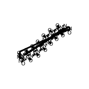 O=C1N2CN3C(=O)N4CN5C(=O)N6CN7C(=O)N8CN9C(=O)N%10CN%11C(=O)N%12CN%13C(=O)N%14CN%15C(=O)N%16CN1C1C2N2CN%17C(=O)N(CN%18C(=O)N(CN%19C(=O)N(CN%20C(=O)N(CN%21C(=O)N(CN%22C(=O)N(CN%23C(=O)N(CN1C2=O)C%16C%15%23)C%14C%13%22)C%12C%11%21)C%10C9%20)C8C7%19)C6C5%18)C4C3%17